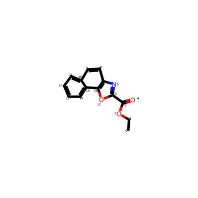 CCOC(=O)c1nc2ccc3ccccc3c2o1